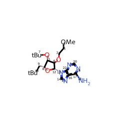 COCCOC1[C@@H](OC(C)(C)C)[C@@H](CC(C)(C)C)O[C@H]1n1cnc2c(N)ncnc21